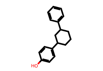 Oc1ccc(C2CCCC(c3ccccc3)C2)cc1